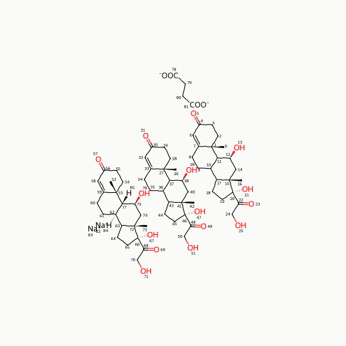 C[C@]12CCC(=O)C=C1CCC1C2[C@@H](O)C[C@@]2(C)C1CC[C@]2(O)C(=O)CO.C[C@]12CCC(=O)C=C1CCC1C2[C@@H](O)C[C@@]2(C)C1CC[C@]2(O)C(=O)CO.C[C@]12CCC(=O)C=C1CC[C@@H]1C3CC[C@](O)(C(=O)CO)[C@@]3(C)C[C@H](O)[C@H]12.O=C([O-])CCC(=O)[O-].[Na+].[Na+]